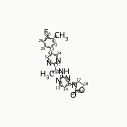 Cc1cc(-c2cnc(C(C)Nc3nccc(N4CCOC4=O)n3)nc2)ccc1F